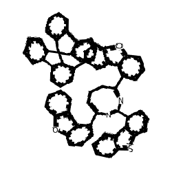 C1=C(c2cccc3oc4ccccc4c23)/N=C(c2cccc3sc4ccccc4c23)\N=C(\c2cccc3oc4ccc(-c5cccc6c5C5(c7ccccc7-c7ccccc75)c5ccccc5-6)cc4c23)CC\1